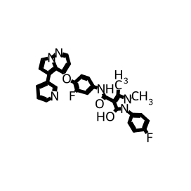 CC1=C(C(=O)Nc2ccc(Oc3ccnn4ccc(-c5cccnc5)c34)c(F)c2)C(O)N(c2ccc(F)cc2)N1C